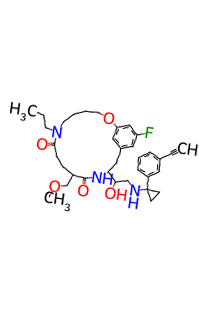 C#Cc1cccc(C2(NCC(O)C3Cc4cc(F)cc(c4)OCCCCN(CCC)C(=O)CCC(COC)C(=O)N3)CC2)c1